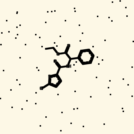 CCOC(=O)C(NC(=O)c1ccc(Cl)s1)c1ccccc1